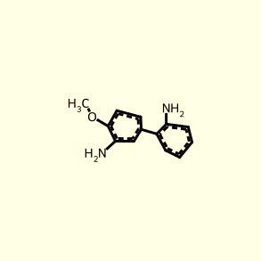 COc1ccc(-c2ccccc2N)cc1N